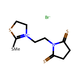 CSC1=[N+](CCN2C(=S)CCC2=S)CCS1.[Br-]